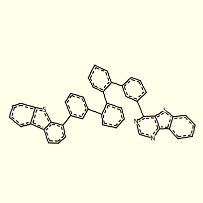 c1cc(-c2ccccc2-c2ccccc2-c2cccc(-c3ncnc4c3sc3ccccc34)c2)cc(-c2cccc3c2sc2ccccc23)c1